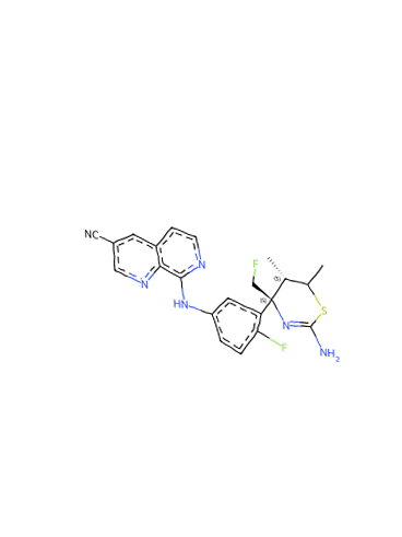 CC1SC(N)=N[C@](CF)(c2cc(Nc3nccc4cc(C#N)cnc34)ccc2F)[C@@H]1C